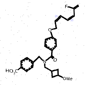 C=C(F)/C=C\C=C/COc1ccc(C(=O)N(Cc2ccc(C(=O)O)cc2)CC2CC(OC)C2)cc1